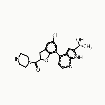 C[C@H](O)c1cc2c(-c3cc(Cl)cc4c3OC(C(=O)N3CCNCC3)C4)ccnc2[nH]1